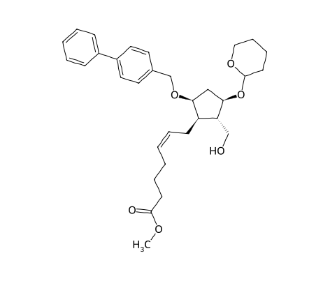 COC(=O)CCC/C=C\C[C@@H]1[C@@H](CO)[C@H](OC2CCCCO2)C[C@@H]1OCc1ccc(-c2ccccc2)cc1